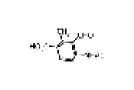 CC(=O)Nc1ccc(C(=O)O)c(C)c1C=O